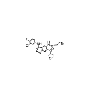 O=C(C=CCBr)Nc1cc2c(Nc3ccc(F)c(Cl)c3)ncnc2cc1OC1CCOC1